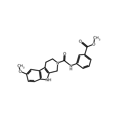 COC(=O)c1cccc(NC(=O)N2CCc3c([nH]c4ccc(OC)cc34)C2)c1